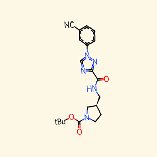 CC(C)(C)OC(=O)N1CC[C@H](CNC(=O)c2ncn(-c3cccc(C#N)c3)n2)C1